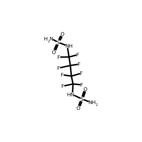 NS(=O)(=O)NC(F)(F)C(F)(F)C(F)(F)C(F)(F)NS(N)(=O)=O